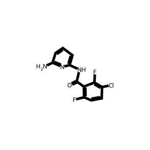 Nc1cccc(NC(=O)c2c(F)ccc(Cl)c2F)n1